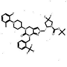 Cc1cccc(F)c1N1CCC(N2Cc3cn(C[C@@H]4CC(F)(F)CN4C(=O)OC(C)(C)C)nc3N(Cc3ccccc3C(F)(F)F)C2=O)CC1